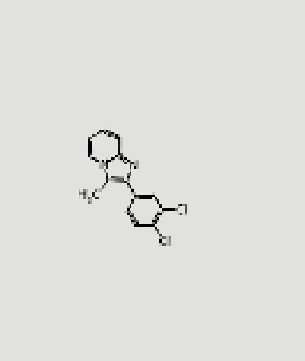 Cc1c(-c2ccc(Cl)c(Cl)c2)nc2ccccn12